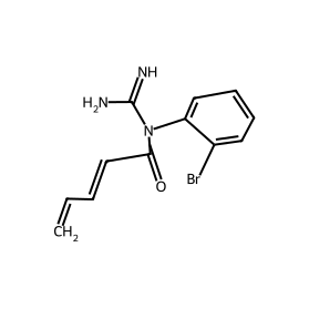 C=CC=CC(=O)N(C(=N)N)c1ccccc1Br